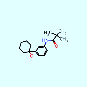 CC(C)(C)C(=O)Nc1cccc(C2(O)CCCCC2)c1